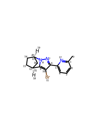 Cc1cccc(-c2nn3c(c2Br)[C@H]2CC[C@@H]3C2)n1